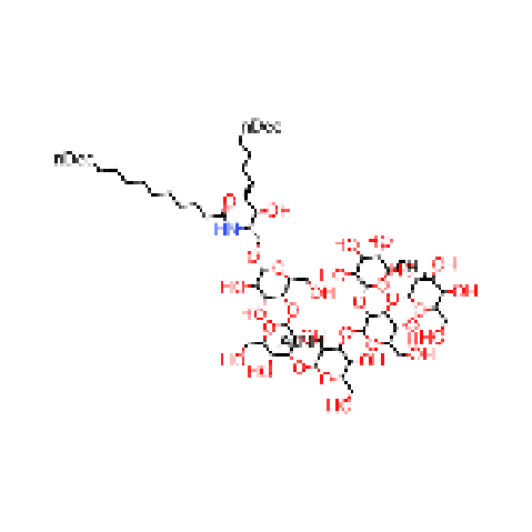 CCCCCCCCCCCCC/C=C/[C@@H](O)[C@H](CO[C@@H]1OC(CO)[C@@H](O[C@@H]2OC(CO)[C@H](O)[C@H](O[C@@H]3OC(CO)[C@@H](O)[C@H](O[C@@H]4OC(CO)[C@H](O)[C@H](O[C@H]5OC(CO)[C@H](O)[C@H](O)C5O)C4O[C@H]4OC(C)[C@@H](O)C(O)[C@@H]4O)C3NC(C)=O)C2O)[C@H](O)C1O)NC(=O)CCCCCCCCCCCCCCCCCCC